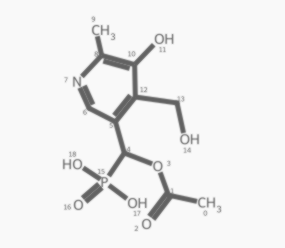 CC(=O)OC(c1cnc(C)c(O)c1CO)P(=O)(O)O